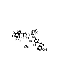 Nc1nc2c(ncn2[C@@H]2O[C@H](COP(=O)(OC[C@H]3O[C@@H](n4cnc5c(O)ncnc54)[C@H](O)[C@@H]3O)OP(=O)([O-])[O-])[C@@H](O)[C@H]2O)c(=O)[nH]1.[Na+].[Na+]